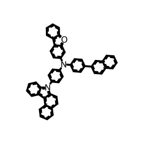 c1ccc2cc(-c3ccc(N(c4ccc(-n5c6ccccc6c6c7ccccc7ccc65)cc4)c4ccc5c(c4)oc4ccccc45)cc3)ccc2c1